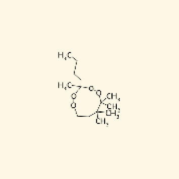 CCCCC1(C)OOCCC(C)(C)C(C)(C)OO1